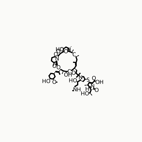 CNCC[C@@H](O)[C@@H]1C[C@H](SC2=C(C(=O)O)N3C(=O)[C@H]([C@@H](C)O)[C@H]3[C@H]2C)CN1C(C)(C)CC[C@@H]1/C=C(\C)C[C@H](C)C[C@H](C)[C@H]2O[C@@](O)(C(=O)C(=O)N3CCCC[C@H]3C(=O)O[C@H](/C(C)=C/[C@@H]3CC[C@@H](O)[C@H](OC)C3)[C@H](C)[C@@H](O)CC1=O)[C@H](C)C[C@@H]2C